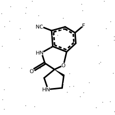 N#Cc1cc(F)cc2c1NC(=O)[C@]1(CCNC1)O2